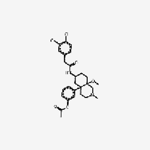 COC12CCC(NC(=O)Cc3ccc(Cl)c(Cl)c3)CC1(c1cccc(OC(C)=O)c1)CCN(C)C2